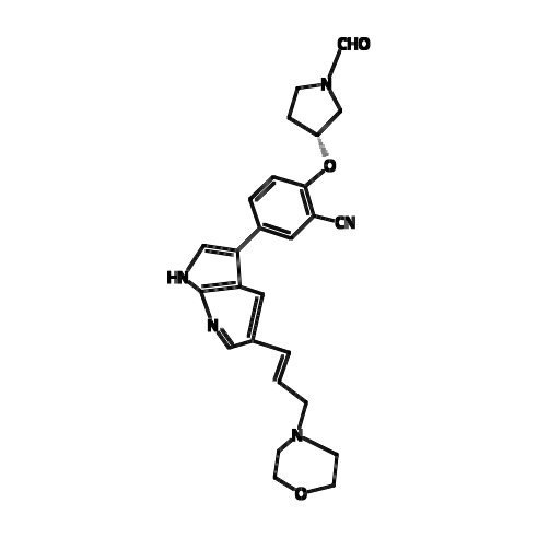 N#Cc1cc(-c2c[nH]c3ncc(/C=C/CN4CCOCC4)cc23)ccc1O[C@@H]1CCN(C=O)C1